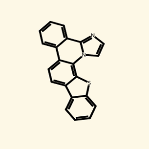 c1ccc2c(c1)sc1c2ccc2c3ccccc3c3nccn3c21